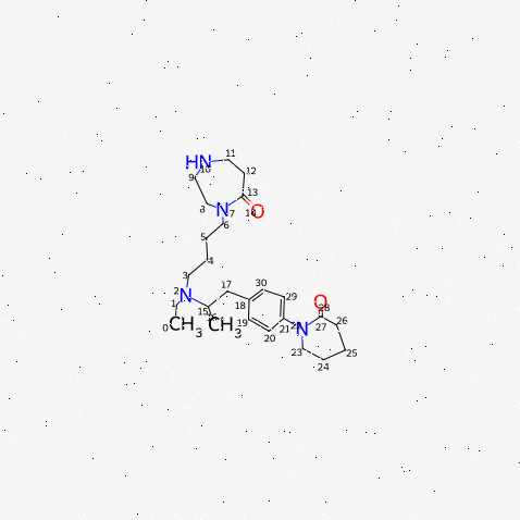 CCN(CCCCN1CCNCCC1=O)C(C)Cc1ccc(N2CCCCC2=O)cc1